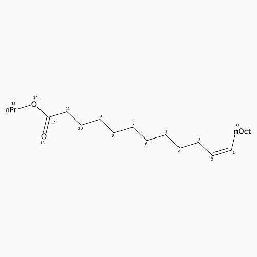 CCCCCCCC/C=C\CCCCCCCCCC(=O)OCCC